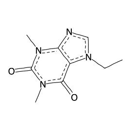 CCn1cnc2c1c(=O)n(C)c(=O)n2C